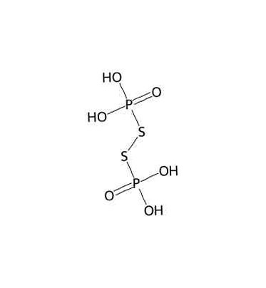 O=P(O)(O)SSP(=O)(O)O